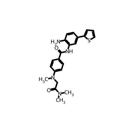 CN(C)C(=O)CN(C)c1ccc(C(=O)Nc2cc(-c3cccs3)ccc2N)cc1